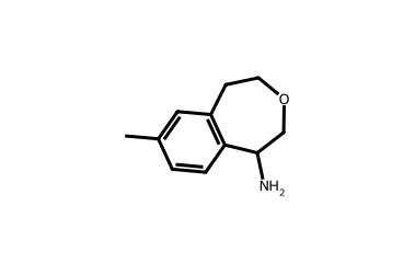 Cc1ccc2c(c1)CCOCC2N